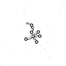 CC(C)(C)c1ccc2sc(Cc3cccc([C@@H]4O[C@H](COCc5ccccc5)[C@@H](OCc5ccccc5)[C@H](OCc5ccccc5)[C@H]4OCc4ccccc4)c3)cc2c1